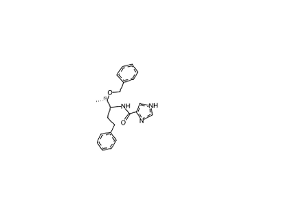 C[C@H](OCc1ccccc1)C(CCc1ccccc1)NC(=O)c1c[nH]cn1